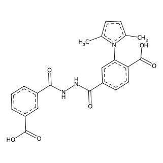 Cc1ccc(C)n1-c1cc(C(=O)NNC(=O)c2cccc(C(=O)O)c2)ccc1C(=O)O